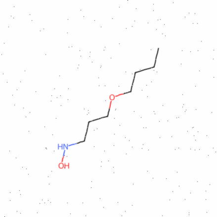 CCCCOCCCNO